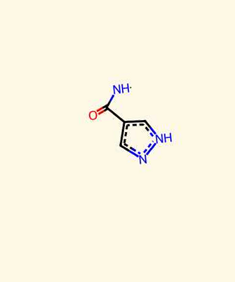 [NH]C(=O)c1cn[nH]c1